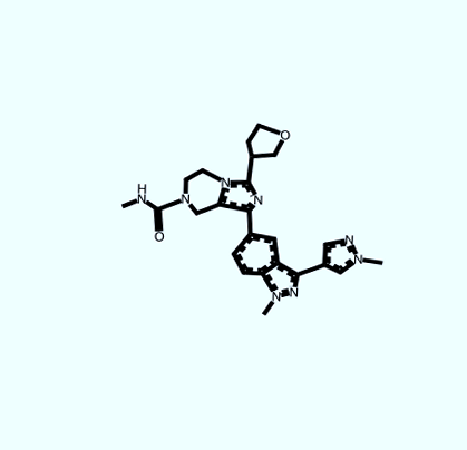 CNC(=O)N1CCn2c(C3CCOC3)nc(-c3ccc4c(c3)c(-c3cnn(C)c3)nn4C)c2C1